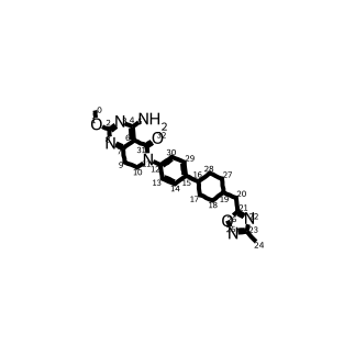 COc1nc(N)c2c(n1)CCN(c1ccc(C3CCC(Cc4nc(C)no4)CC3)cc1)C2=O